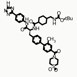 Cc1cc(C(=O)N2CCS(=O)(=O)CC2)ccc1-c1ccc(C[C@H](NC(=O)C2CCC(CNC(=O)OC(C)(C)C)CC2)C(=O)Nc2ccc(-c3nn[nH]n3)cc2)cc1